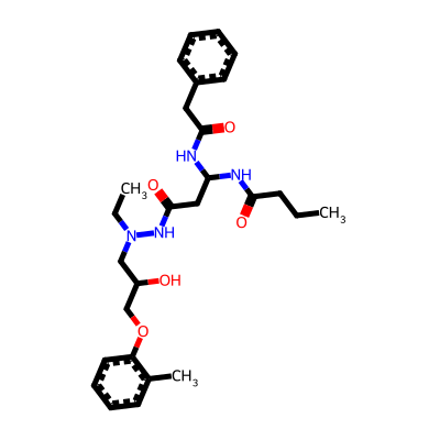 CCCC(=O)NC(CC(=O)NN(CC)CC(O)COc1ccccc1C)NC(=O)Cc1ccccc1